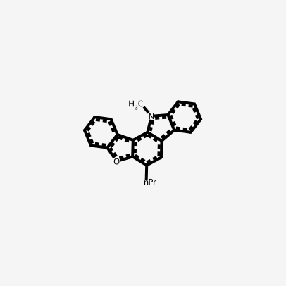 CCCc1cc2c3ccccc3n(C)c2c2c1oc1ccccc12